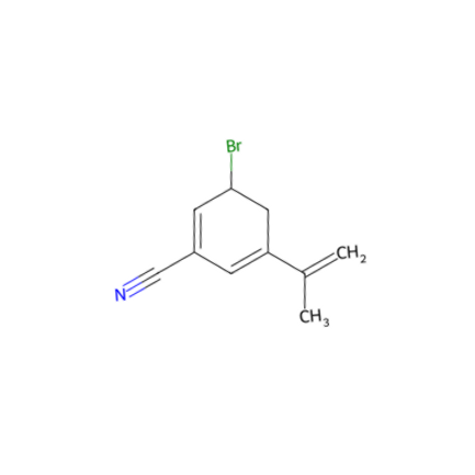 C=C(C)C1=CC(C#N)=CC(Br)C1